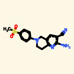 CS(=O)(=O)c1ccc(N2CCc3nc(N)c(C#N)cc3C2)cc1